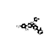 Cc1ncncc1-c1ccc(C2(C(=O)N[C@@H]3CCN(C)C3)CCN(c3ccc(C(F)(F)F)cc3C#N)CC2)cn1